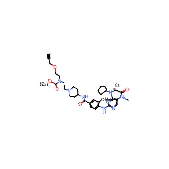 C#CCOCCN(CCN1CCC(NC(=O)c2ccc(Nc3ncc4c(n3)N(C3CCCC3)[C@H](CC)C(=O)N4C)c(OC)c2)CC1)C(=O)OC(C)(C)C